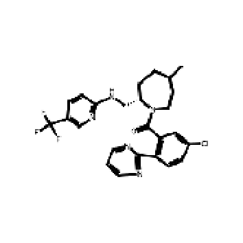 CC1CC[C@@H](CNc2ccc(C(F)(F)F)cn2)N(C(=O)c2cc(Cl)ccc2-c2ncccn2)CC1